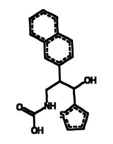 O=C(O)NCC(c1ccc2ccccc2c1)C(O)c1cccs1